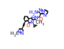 CC(NC(=O)c1c(N)nn2cccnc12)c1cc2cccc(C#Cc3cnn(C)c3)c2c(=O)n1C1CC1